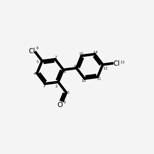 O=Cc1ccc(Cl)cc1-c1ccc(Cl)cc1